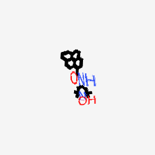 CC1(C)CC(NC(=O)c2ccc3ccc4cccc5ccc2c3c45)CC(C)(C)N1O